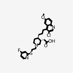 COc1ccc2ncc(Cl)c(CCC[C@@H]3CCN(CCSc4cc(F)ccn4)C[C@H]3CC(=O)O)c2c1